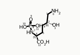 NC[C@H](O)CC[C@H](NP(=O)(O)O)C(=O)O